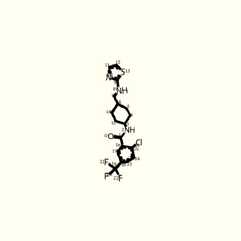 O=C(NC1CCC(CNc2nccs2)CC1)c1cc(C(F)(F)F)ccc1Cl